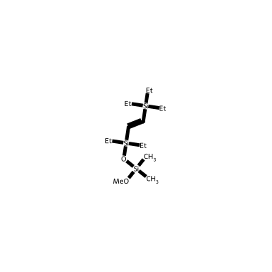 CC[Si](C=C[Si](CC)(CC)O[Si](C)(C)OC)(CC)CC